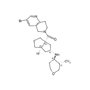 C[C@@H]1COCC[C@H]1N[C@@H]1C[C@H]2CCC[C@@]2(C(=O)N2CCc3ncc(Br)cc3C2)C1